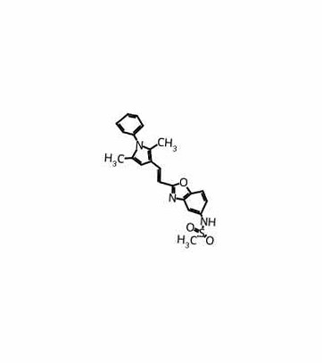 Cc1cc(/C=C/c2nc3cc(NS(C)(=O)=O)ccc3o2)c(C)n1-c1ccccc1